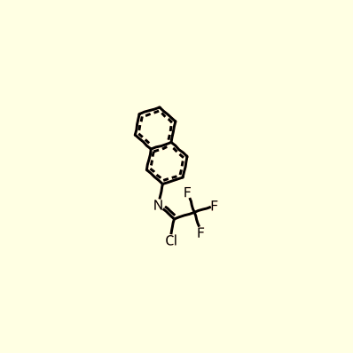 FC(F)(F)/C(Cl)=N\c1ccc2ccccc2c1